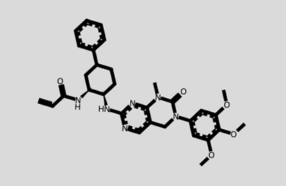 C=CC(=O)N[C@H]1CC(c2ccccc2)CC[C@H]1Nc1ncc2c(n1)N(C)C(=O)N(c1cc(OC)c(OC)c(OC)c1)C2